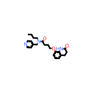 CCCCN(Cc1ccncc1)C(=O)CCCOc1cccc2c1NC(=O)CC2